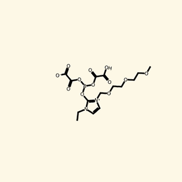 CCn1cc[n+](COCCOCCOC)c1OB(OC(=O)C(=O)[O-])OC(=O)C(=O)O